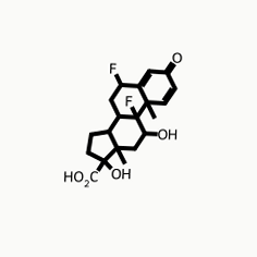 CC12C=CC(=O)C=C1C(F)CC1C3CCC(O)(C(=O)O)C3(C)CC(O)C12F